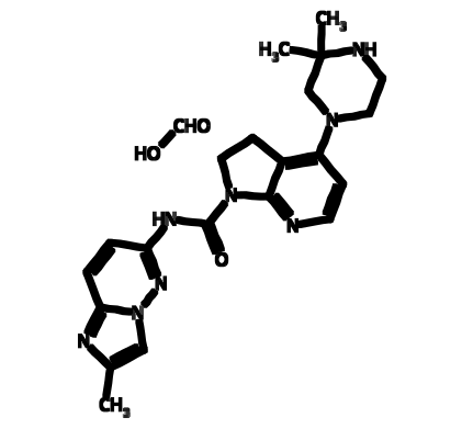 Cc1cn2nc(NC(=O)N3CCc4c(N5CCNC(C)(C)C5)ccnc43)ccc2n1.O=CO